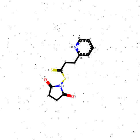 O=C1CCC(=O)N1SC(=S)CCc1ccccn1